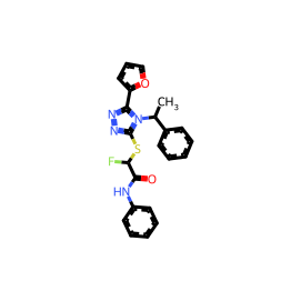 CC(c1ccccc1)n1c(SC(F)C(=O)Nc2ccccc2)nnc1-c1ccco1